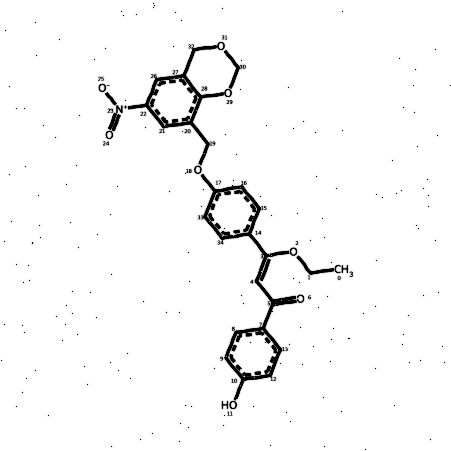 CCOC(=CC(=O)c1ccc(O)cc1)c1ccc(OCc2cc([N+](=O)[O-])cc3c2OCOC3)cc1